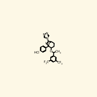 CC(OC1CCC2NC1(c1ccccc1)CC2n1cnnc1)c1cc(C(F)(F)F)cc(C(F)(F)F)c1.Cl